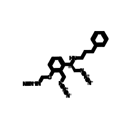 [N-]=[N+]=NCOc1cccc([C@H](CN=[N+]=[N-])NCCCc2ccccc2)c1CN=[N+]=[N-]